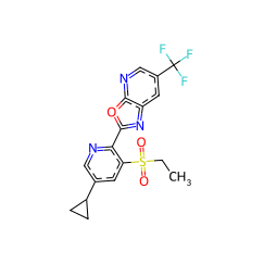 CCS(=O)(=O)c1cc(C2CC2)cnc1-c1nc2cc(C(F)(F)F)cnc2o1